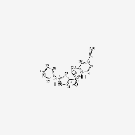 N#Cc1ccc(NS(=O)(=O)c2c[nH]c(-c3cccnc3)c2)c(F)c1